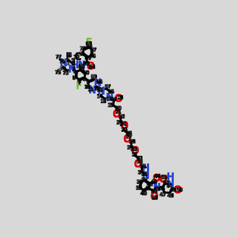 C[C@@H]1CN(c2cc(F)c(-c3cnc(N4CCN(C(=O)CCOCCOCCOCCOCCOCCNc5cccc6c5C(=O)N(C5CCC(=O)NC5=O)C6=O)CC4)nc3)cc2NC(=O)c2ccc(F)cc2C(F)(F)F)C[C@H](C)N1C